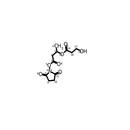 CC(CC(=O)ON1C(=O)CCC1=O)OC(=O)CCO